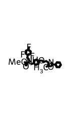 COC(=O)[C@H](Cc1ccc(OCCc2nc(-c3ccccc3)oc2C)cc1)NCc1c(F)cc(F)cc1F